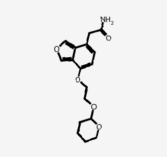 NC(=O)Cc1ccc(OCCOC2CCCCO2)c2cocc12